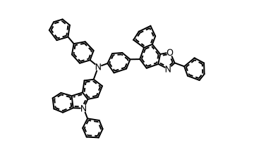 c1ccc(-c2ccc(N(c3ccc(-c4cc5nc(-c6ccccc6)oc5c5ccccc45)cc3)c3ccc4c(c3)c3ccccc3n4-c3ccccc3)cc2)cc1